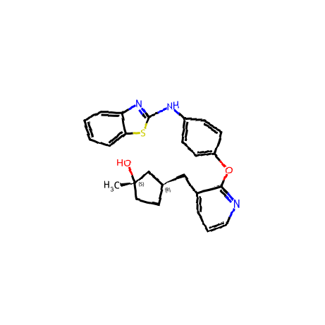 C[C@]1(O)CC[C@H](Cc2cccnc2Oc2ccc(Nc3nc4ccccc4s3)cc2)C1